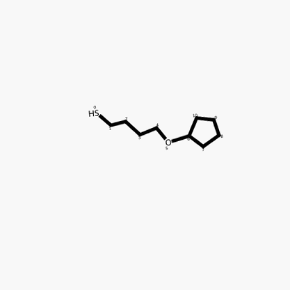 SCCCCOC1CCCC1